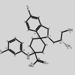 C[C@@H](CO)CN1Cc2cc(F)ccc2C12CCC(Nc1cccc(Cl)c1)(C(=O)O)CC2